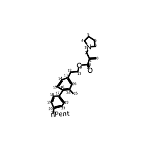 C=C(CN1CCCC1)C(=O)OCCc1ccc(-c2ccc(CCCCC)cc2)c(C)c1